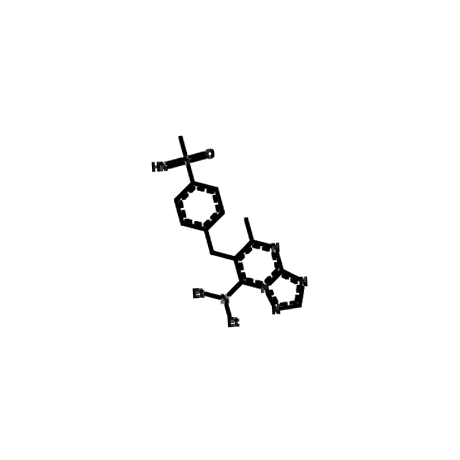 CCN(CC)c1c(Cc2ccc(S(C)(=N)=O)cc2)c(C)nc2ncnn12